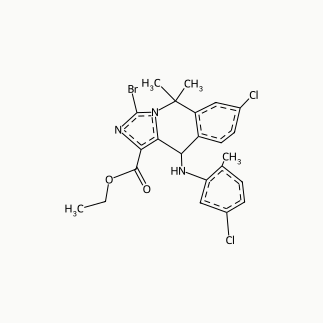 CCOC(=O)c1nc(Br)n2c1C(Nc1cc(Cl)ccc1C)c1ccc(Cl)cc1C2(C)C